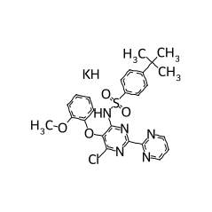 COc1ccccc1Oc1c(Cl)nc(-c2ncccn2)nc1NS(=O)(=O)c1ccc(C(C)(C)C)cc1.[KH]